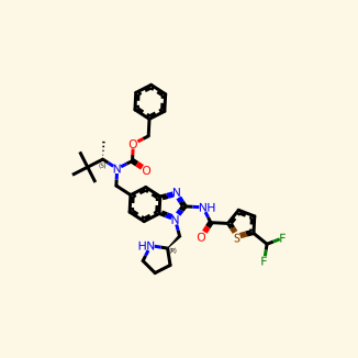 C[C@H](N(Cc1ccc2c(c1)nc(NC(=O)c1ccc(C(F)F)s1)n2C[C@H]1CCCN1)C(=O)OCc1ccccc1)C(C)(C)C